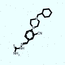 N#Cc1cc(C=NNC(N)=S)ccc1N1CCN(CC2CCCCC2)CC1